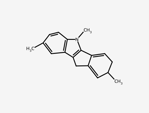 Cc1ccc2c(c1)c1c(n2C)C2=CCC(C)C=C2C1